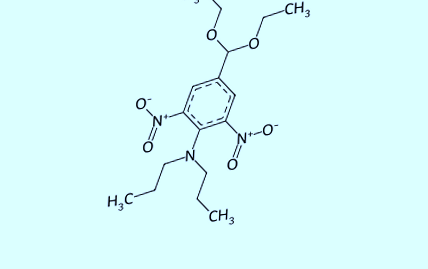 CCCN(CCC)c1c([N+](=O)[O-])cc(C(OCC)OCC)cc1[N+](=O)[O-]